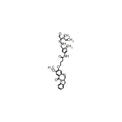 C=CN(C)/C(C=O)=N\NCc1cc(NC(=O)CCCOc2cc3c(cc2OC)C(=O)N2c4ccccc4CC2C=N3)cn1C